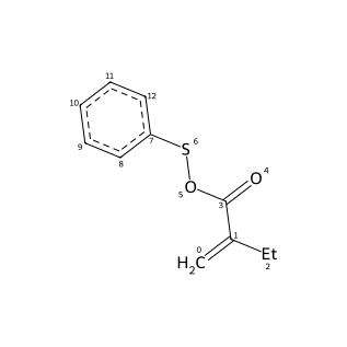 C=C(CC)C(=O)OSc1ccccc1